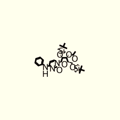 CC(=O)O[C@H]1[C@@H](O[Si](C)(C)C(C)(C)C)[C@H](n2ccc(Nc3ccccc3)nc2=O)O[C@@H]1CO[Si](C)(C)C(C)(C)C